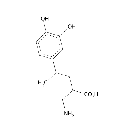 CC(CC(CN)C(=O)O)c1ccc(O)c(O)c1